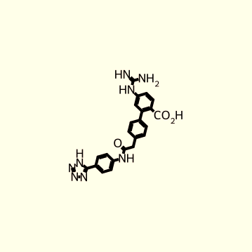 N=C(N)Nc1ccc(C(=O)O)c(-c2ccc(CC(=O)Nc3ccc(-c4nnn[nH]4)cc3)cc2)c1